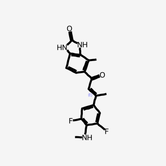 CNc1c(F)cc(/C(C)=C/C(=O)c2ccc3[nH]c(=O)[nH]c3c2C)cc1F